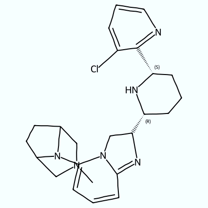 CN1CC2CCC(C1)N2C1=CC=CC2=NC([C@H]3CCC[C@@H](c4ncccc4Cl)N3)CN12